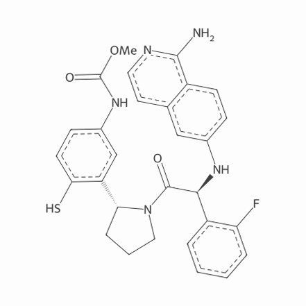 COC(=O)Nc1ccc(S)c([C@H]2CCCN2C(=O)[C@@H](Nc2ccc3c(N)nccc3c2)c2ccccc2F)c1